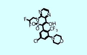 O=S1(=O)C(c2cc(Cl)cc(N3CCOCC3)c2C(F)(F)F)=C(O)c2nccnc2N1CC(F)F